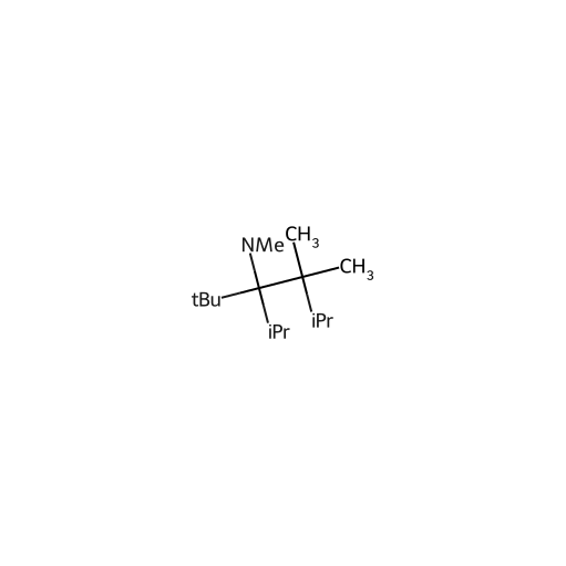 CNC(C(C)C)(C(C)(C)C)C(C)(C)C(C)C